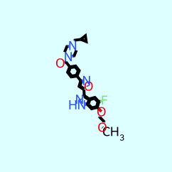 COCCOc1cc2[nH]nc(-c3cc(-c4ccc(C(=O)N5CCN(CC6CC6)CC5)cc4)no3)c2cc1F